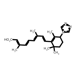 CC(C=CC1=C(C)C(n2cnnc2)CCC1(C)C)=CC=CC(C)=CC(=O)O